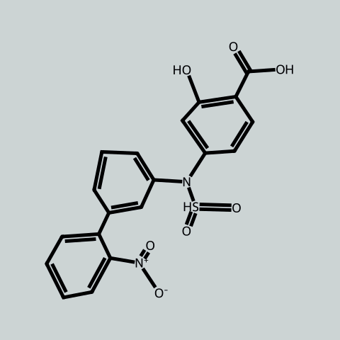 O=C(O)c1ccc(N(c2cccc(-c3ccccc3[N+](=O)[O-])c2)[SH](=O)=O)cc1O